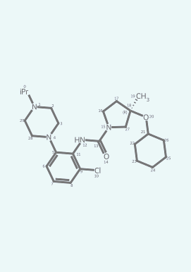 CC(C)N1CCN(c2cccc(Cl)c2NC(=O)N2CC[C@@](C)(OC3CCCCC3)C2)CC1